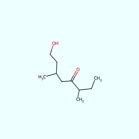 CCC(C)C(=O)CC(C)CCO